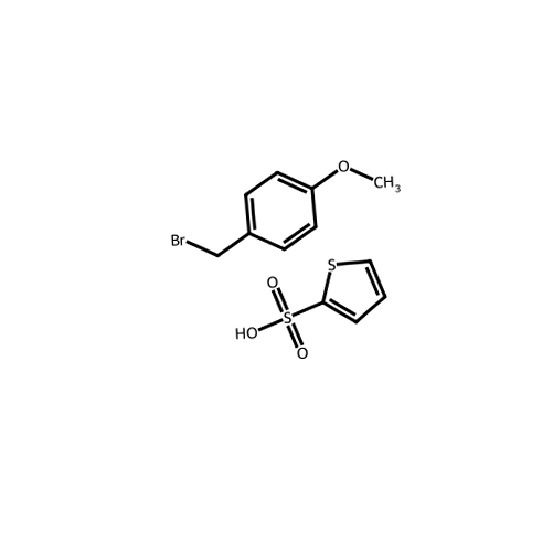 COc1ccc(CBr)cc1.O=S(=O)(O)c1cccs1